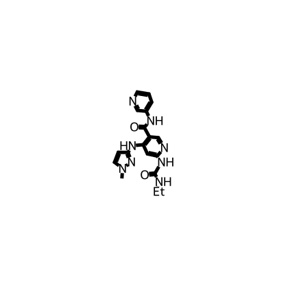 CCNC(=O)Nc1cc(Nc2ccn(C)n2)c(C(=O)Nc2cccnc2)cn1